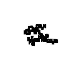 CCOC(=O)NC(=O)NCCCn1nc2c(c1C(=O)O)CCc1cnccc1-2.O=C(O)C(F)(F)F